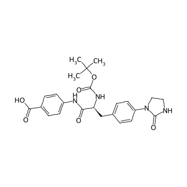 CC(C)(C)OC(=O)N[C@@H](Cc1ccc(N2CCNC2=O)cc1)C(=O)Nc1ccc(C(=O)O)cc1